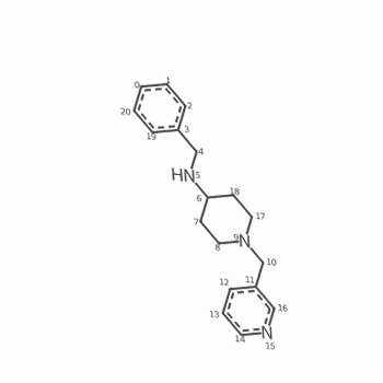 c1ccc(CNC2CCN(Cc3cccnc3)CC2)cc1